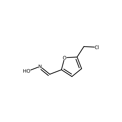 ON=Cc1ccc(CCl)o1